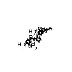 Cc1ccc(C(=O)NCC2CCCCN2Cc2ccc(OCCCCI)c(C)c2C)cc1C